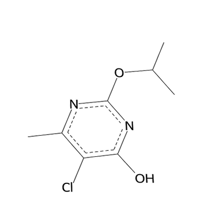 Cc1nc(OC(C)C)nc(O)c1Cl